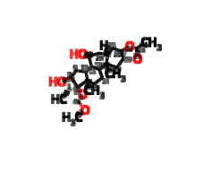 C#C[C@]1(OCOC)[C@@H](O)CC2C3C(CC[C@@]21C)[C@@]1(C)CC[C@H](OC(C)=O)C[C@H]1C[C@@H]3O